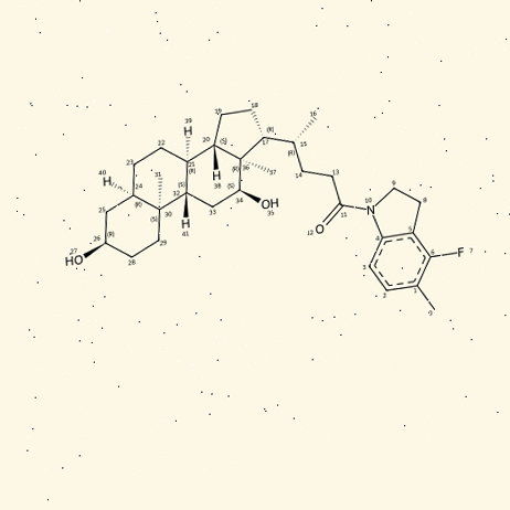 Cc1ccc2c(c1F)CCN2C(=O)CC[C@@H](C)[C@H]1CC[C@H]2[C@@H]3CC[C@@H]4C[C@H](O)CC[C@]4(C)[C@H]3C[C@H](O)[C@]12C